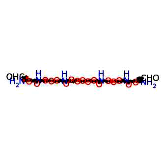 Nc1cc(OCCCC(=O)NCCCOCCOCCOCCCNC(=O)CCOCCOCCOCCOCCOCCC(=O)NCCCOCCOCCOCCCNC(=O)CCCOc2ccc(C=O)c(N)c2)ccc1C=O